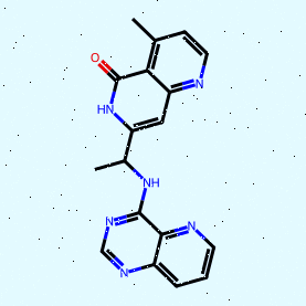 Cc1ccnc2cc(C(C)Nc3ncnc4cccnc34)[nH]c(=O)c12